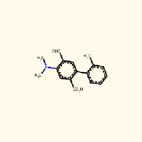 Cc1ccccc1-c1cc(C=O)c(N(C)C)cc1C(=O)O